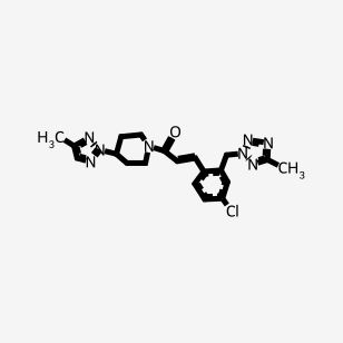 Cc1cnn(C2CCN(C(=O)/C=C/c3ccc(Cl)cc3Cn3nnc(C)n3)CC2)n1